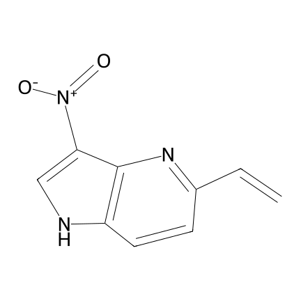 C=Cc1ccc2[nH]cc([N+](=O)[O-])c2n1